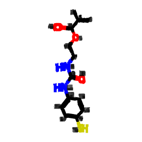 C=C(C)C(=O)OCCNC(=O)Nc1ccc(S)cc1